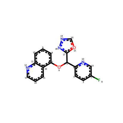 Fc1ccc(C(Oc2cccc3ncccc23)c2nnco2)nc1